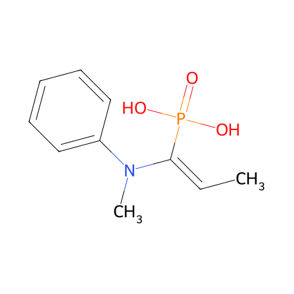 CC=C(N(C)c1ccccc1)P(=O)(O)O